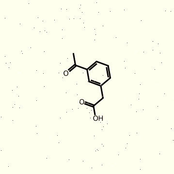 CC(=O)c1cccc(CC(=O)O)c1